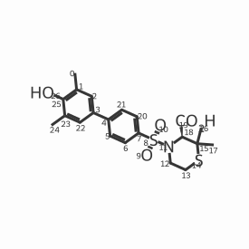 Cc1cc(-c2ccc(S(=O)(=O)N3CCSC(C)(C)[C@@H]3C(=O)O)cc2)cc(C)c1O